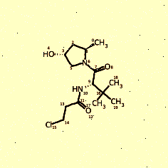 C[C@@H]1C[C@@H](O)CN1C(=O)[C@@H](NC(=O)CCCl)C(C)(C)C